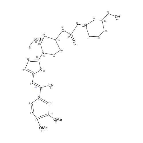 COc1ccc(/C(C#N)=C/c2ccc(N3CCC(OC(=O)CN4CCCC(CO)C4)CC3)s2)cc1OC.CS(=O)(=O)O